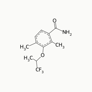 Cc1ccc(C(N)=O)c(C)c1OC(C)C(F)(F)F